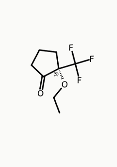 CCO[C@@]1(C(F)(F)F)CCCC1=O